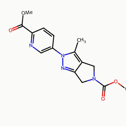 COC(=O)c1ccc(-n2nc3c(c2C)CN(C(=O)OC(C)(C)C)C3)cn1